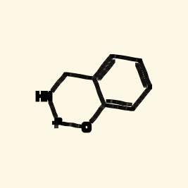 c1ccc2c(c1)CN[P]O2